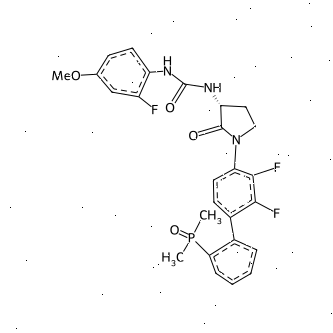 COc1ccc(NC(=O)N[C@@H]2CCN(c3ccc(-c4ccccc4P(C)(C)=O)c(F)c3F)C2=O)c(F)c1